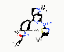 C=CC(=O)Nc1c(C)ccc(-c2nc(Nc3ncc(C)s3)cc3c2ccn3C)c1C